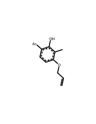 C=CCOc1ccc(C(C)=O)c(O)c1C